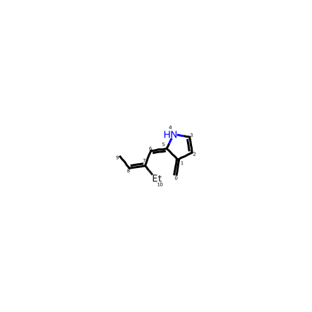 C=c1cc[nH]/c1=C/C(=C\C)CC